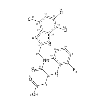 O=C(O)CC1Oc2c(F)cccc2N(Cc2nc3c(Cl)cc(Cl)c(Cl)c3s2)C1=O